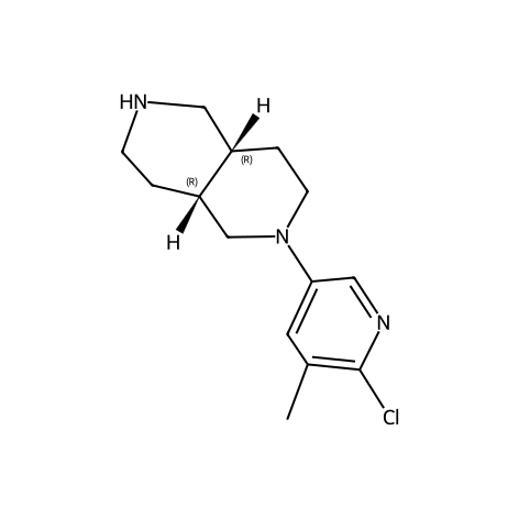 Cc1cc(N2CC[C@H]3CNCC[C@H]3C2)cnc1Cl